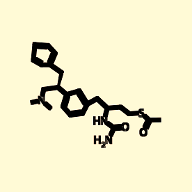 CC(=O)SCCC(Cc1cccc([C@H](Cc2ccccc2)CN(C)C)c1)NC(N)=O